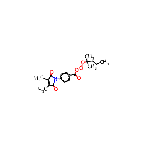 CCCC(C)(C)OOOC(=O)c1ccc(N2C(=O)C(C)=C(C)C2=O)cc1